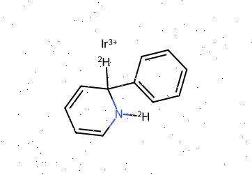 [2H]N1C=CC=CC1([2H])c1ccccc1.[Ir+3]